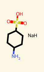 NC1CCC(S(=O)(=O)O)CC1.[NaH]